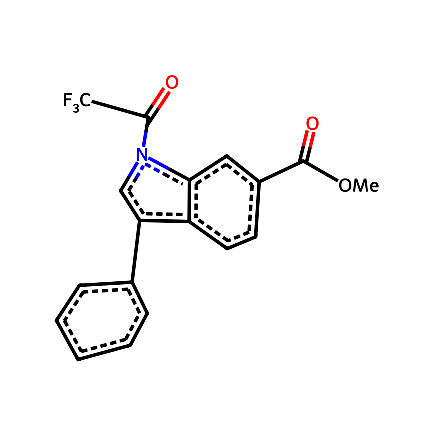 COC(=O)c1ccc2c(-c3ccccc3)cn(C(=O)C(F)(F)F)c2c1